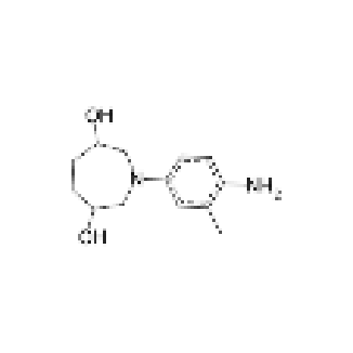 Cc1cc(N2CC(O)CCC(O)C2)ccc1N